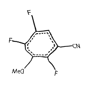 COc1c(F)c(F)cc(C#N)c1F